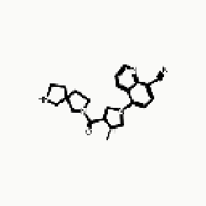 C[C@@H]1CN(c2ccc(C#N)c3ncccc23)CC1C(=O)N1CCC2(CCNC2)C1